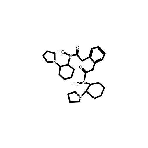 CN(C(=O)Cc1ccccc1CC(=O)N(C)C1CCCCC1N1CCCC1)C1CCCCC1N1CCCC1